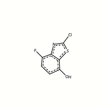 Oc1ccc(F)c2nc(Cl)sc12